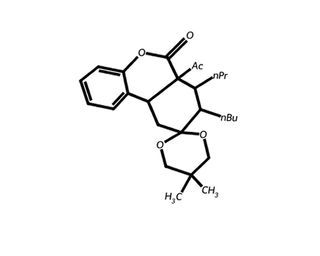 CCCCC1C(CCC)C2(C(C)=O)C(=O)Oc3ccccc3C2CC12OCC(C)(C)CO2